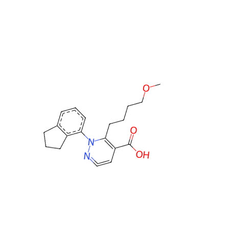 COCCCCC1=C(C(=O)O)C=C=NN1c1cccc2c1CCC2